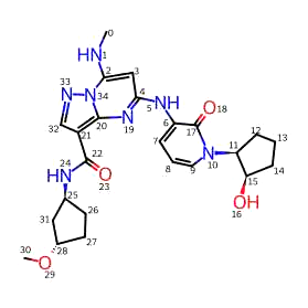 CNc1cc(Nc2cccn([C@H]3CCC[C@H]3O)c2=O)nc2c(C(=O)N[C@H]3CC[C@H](OC)C3)cnn12